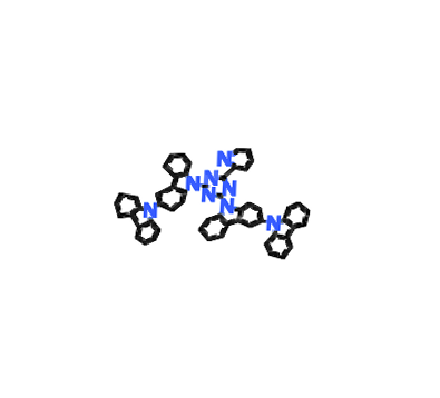 c1ccc(-c2nc(-n3c4ccccc4c4cc(-n5c6ccccc6c6ccccc65)ccc43)nc(-n3c4ccccc4c4cc(-n5c6ccccc6c6ccccc65)ccc43)n2)nc1